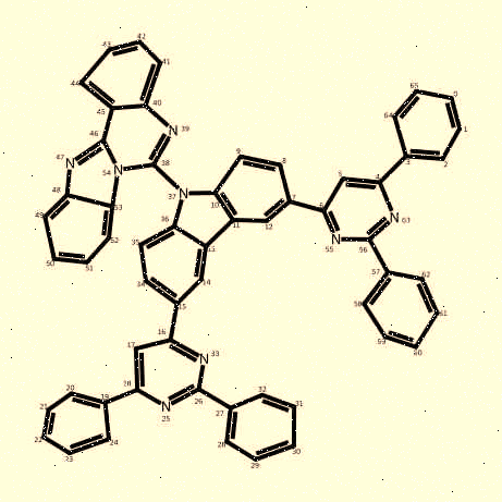 c1ccc(-c2cc(-c3ccc4c(c3)c3cc(-c5cc(-c6ccccc6)nc(-c6ccccc6)n5)ccc3n4-c3nc4ccccc4c4nc5ccccc5n34)nc(-c3ccccc3)n2)cc1